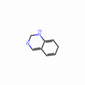 C1=CC2=C[N]CNC2=CC1